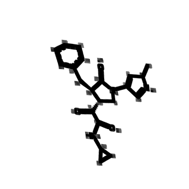 CC1C=C(N2C[C@H](C(=O)C(=O)NC3CC3)[C@@H](Cc3ccccc3)C2=O)C=N1